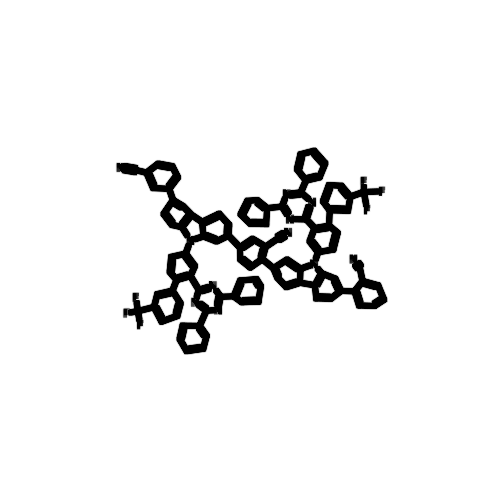 N#Cc1cccc(-c2ccc3c(c2)c2ccc(-c4ccc(-c5ccc6c7ccc(-c8ccccc8C#N)cc7n(-c7ccc(-c8cccc(C(F)(F)F)c8)c(-c8nc(-c9ccccc9)nc(-c9ccccc9)n8)c7)c6c5)c(C#N)c4)cc2n3-c2ccc(-c3cccc(C(F)(F)F)c3)c(-c3nc(-c4ccccc4)nc(-c4ccccc4)n3)c2)c1